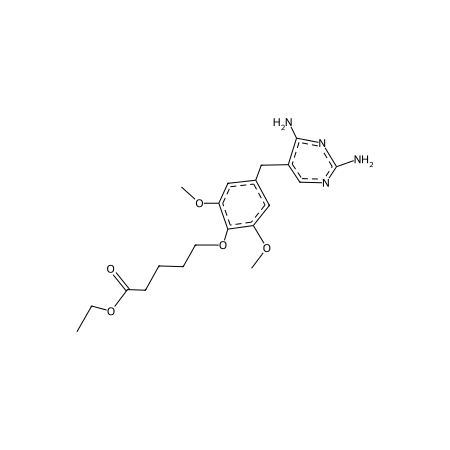 CCOC(=O)CCCCOc1c(OC)cc(Cc2cnc(N)nc2N)cc1OC